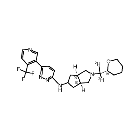 [2H]C([2H])([C@H]1CCCCO1)N1C[C@H]2CC(Nc3ccc(-c4cnccc4C(F)(F)F)nn3)C[C@H]2C1